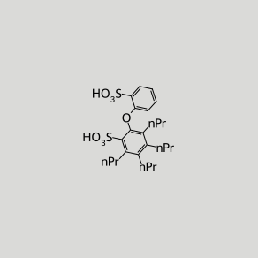 CCCc1c(CCC)c(CCC)c(S(=O)(=O)O)c(Oc2ccccc2S(=O)(=O)O)c1CCC